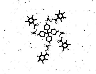 Cc1c(C)c(C)c(C(=O)OOC(=O)OC2CCC(C(C3CCC(OC(=O)OOC(=O)c4c(C)c(C)c(C)c(C)c4C)CC3)(C3CCC(OC(=O)OOC(=O)c4c(C)c(C)c(C)c(C)c4C)CC3)C3CCC(OC(=O)OOC(=O)c4c(C)c(C)c(C)c(C)c4C)CC3)CC2)c(C)c1C